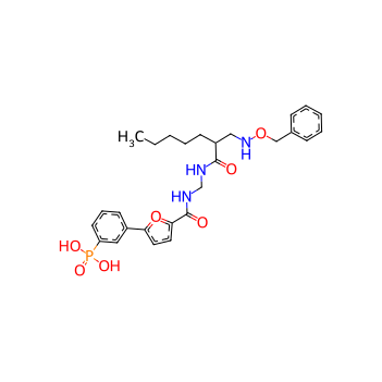 CCCCCC(CNOCc1ccccc1)C(=O)NCNC(=O)c1ccc(-c2cccc(P(=O)(O)O)c2)o1